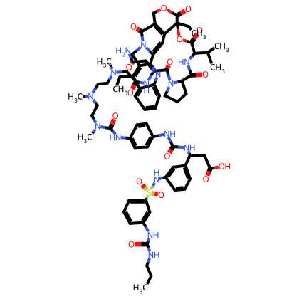 CCCNC(=O)Nc1cccc(S(=O)(=O)Nc2cccc(C(CC(=O)O)NC(=O)Nc3ccc(NC(=O)N(C)CCN(C)CCN(C)CC(=O)NC(CC(N)=O)C(=O)N4CCCC4C(=O)NC(C(=O)OC4(CC)C(=O)OCc5c4cc4n(c5=O)Cc5c-4nc4ccccc4c5CC)C(C)C)cc3)c2)c1